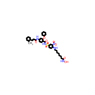 Cc1ccccc1C=CC(=O)Nc1ccc(C(=O)NS(=O)(=O)c2ccc(NCCCCCCCC(=O)NO)c([N+](=O)[O-])c2)c(Oc2ccccc2)c1